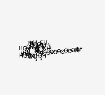 CC[C@H](C)C(NC(=O)CN)C(=O)NCC(=O)N[C@H]1C[S+]([O-])c2[nH]c3c(CSCCOCCOCCOCCOCCOCCOCCOCCOCCOCCN=[N+]=[N-])c(O)ccc3c2C[C@@H](C)NC(=O)C(C(C)[C@@H](O)CO)NC(=O)C2CC(O)CN2C(=O)C(CC(N)=O)NC1=O